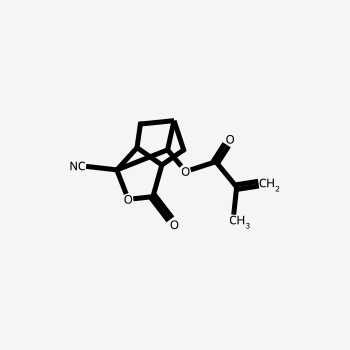 C=C(C)C(=O)OC1C2CC3C(=O)OC1(C#N)C3C2